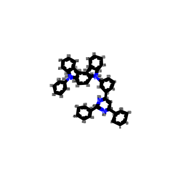 c1ccc(-c2cc(-c3cccc(-n4c5ccccc5c5c6c7ccccc7n(-c7ccccc7)c6ccc54)c3)nc(-c3ccccc3)n2)cc1